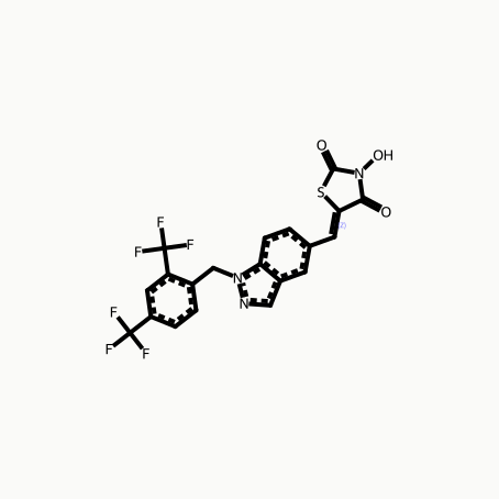 O=C1S/C(=C\c2ccc3c(cnn3Cc3ccc(C(F)(F)F)cc3C(F)(F)F)c2)C(=O)N1O